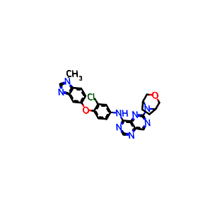 Cn1cnc2cc(Oc3ccc(Nc4ncnc5cnc(N6C7CCC6COC7)nc45)cc3Cl)ccc21